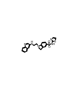 O=S(=O)(Nc1nccs1)c1ccc2c(c1)CCN2CCNc1cnc2ccccc2c1